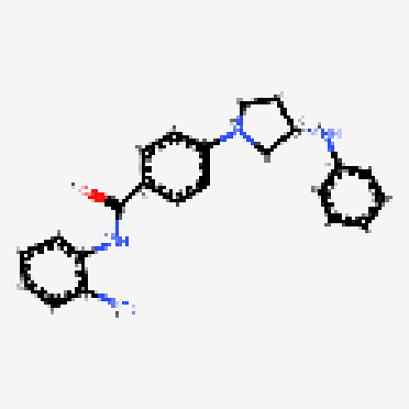 Nc1ccccc1NC(=O)c1ccc(N2CC[C@H](Nc3ccccc3)C2)cc1